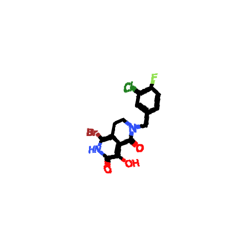 O=C1c2c(c(Br)[nH]c(=O)c2O)CCN1Cc1ccc(F)c(Cl)c1